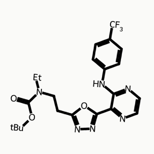 CCN(CCc1nnc(-c2nccnc2Nc2ccc(C(F)(F)F)cc2)o1)C(=O)OC(C)(C)C